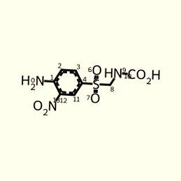 Nc1ccc(S(=O)(=O)CNC(=O)O)cc1[N+](=O)[O-]